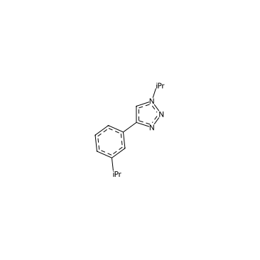 CC(C)c1cccc(-c2cn(C(C)C)nn2)c1